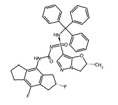 C[C@@H]1Cn2ncc([S@@](=O)(=NC(=O)Nc3c4c(c(F)c5c3C[C@H](F)C5)CCC4)NC(c3ccccc3)(c3ccccc3)c3ccccc3)c2O1